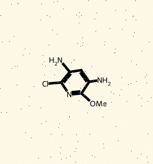 COc1nc(Cl)c(N)cc1N